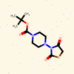 CC(C)(C)OC(=O)N1CCN(N2C(=O)CSC2=O)CC1